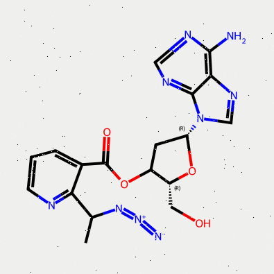 CC(N=[N+]=[N-])c1ncccc1C(=O)OC1C[C@H](n2cnc3c(N)ncnc32)O[C@@H]1CO